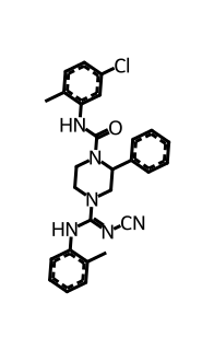 Cc1ccc(Cl)cc1NC(=O)N1CCN(/C(=N\C#N)Nc2ccccc2C)CC1c1ccccc1